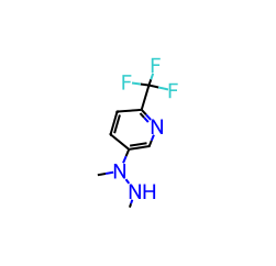 CNN(C)c1ccc(C(F)(F)F)nc1